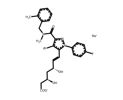 Cc1ccccc1CN(C)C(=O)c1nn(-c2ccc(F)cc2)c(C=C[C@H](O)C[C@@H](O)CC(=O)[O-])c1C(C)C.[Na+]